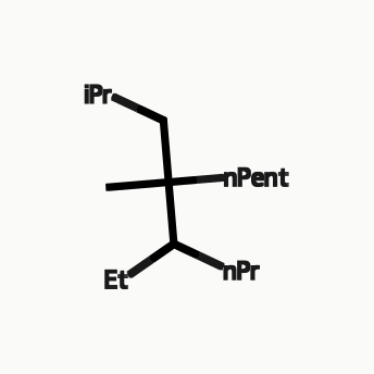 CCCCCC(C)(CC(C)C)C(CC)CCC